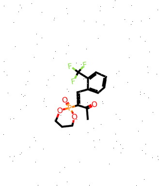 CC(=O)C(=Cc1ccccc1C(F)(F)F)P1(=O)OCCCO1